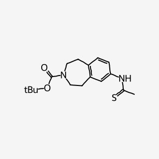 CC(=S)Nc1ccc2c(c1)CCN(C(=O)OC(C)(C)C)CC2